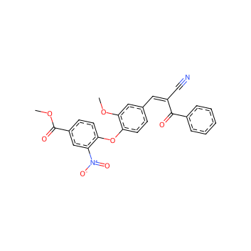 COC(=O)c1ccc(Oc2ccc(C=C(C#N)C(=O)c3ccccc3)cc2OC)c([N+](=O)[O-])c1